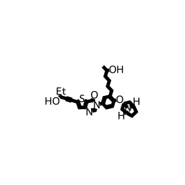 CCC(O)C#Cc1cc2ncn(-c3ccc(OC4C[C@H]5CC[C@@H](C4)N5C)c(CCCCC(C)O)c3)c(=O)c2s1